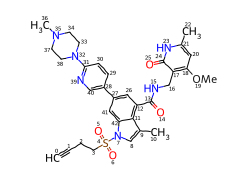 C#CCCS(=O)(=O)n1cc(C)c2c(C(=O)NCc3c(OC)cc(C)[nH]c3=O)cc(-c3ccc(N4CCN(C)CC4)nc3)cc21